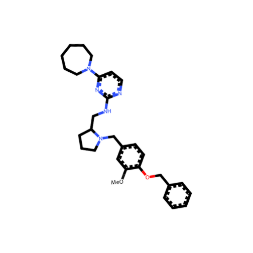 COc1cc(CN2CCCC2CNc2nccc(N3CCCCCC3)n2)ccc1OCc1ccccc1